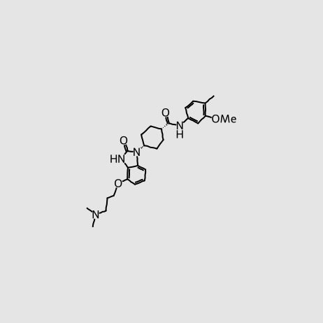 COc1cc(NC(=O)[C@H]2CC[C@@H](n3c(=O)[nH]c4c(OCCCN(C)C)cccc43)CC2)ccc1C